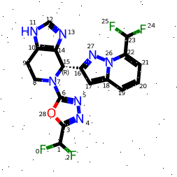 FC(F)c1nnc(N2CCc3[nH]cnc3[C@@H]2c2cc3cccc(C(F)F)n3n2)o1